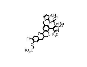 CCn1cc(-c2cc(Cn3ccn(C)/c3=N\C(=O)OC(C)(C)C)cc3c2OCC(Cc2ccc(Cl)c(OCC(=O)O)c2)C3=O)c(C(F)(F)F)n1